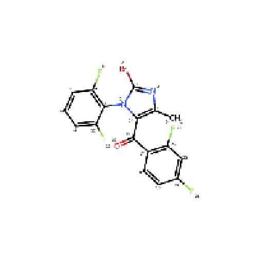 Cc1nc(Br)n(-c2c(F)cccc2F)c1C(=O)c1ccc(F)cc1F